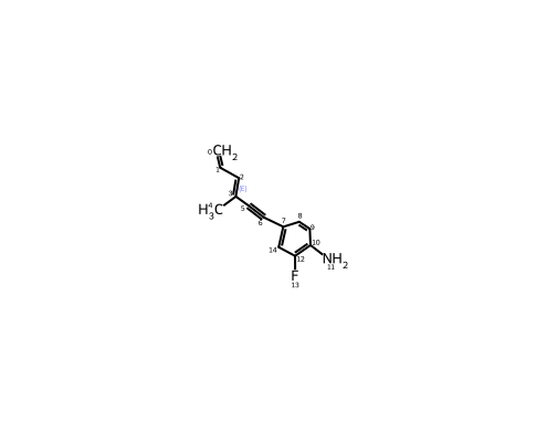 C=C/C=C(\C)C#Cc1ccc(N)c(F)c1